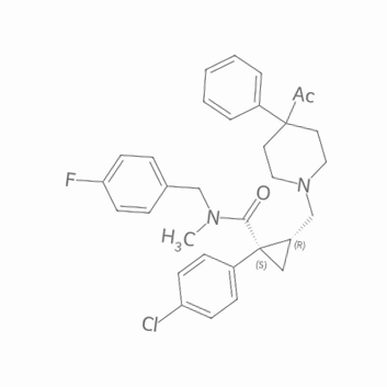 CC(=O)C1(c2ccccc2)CCN(C[C@@H]2C[C@@]2(C(=O)N(C)Cc2ccc(F)cc2)c2ccc(Cl)cc2)CC1